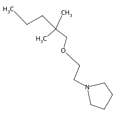 CCCC(C)(C)COCCN1CCCC1